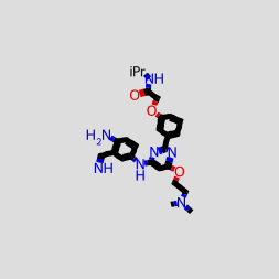 CC(C)NC(=O)COc1cccc(-c2nc(Nc3ccc(N)c(C=N)c3)cc(OCCN(C)C)n2)c1